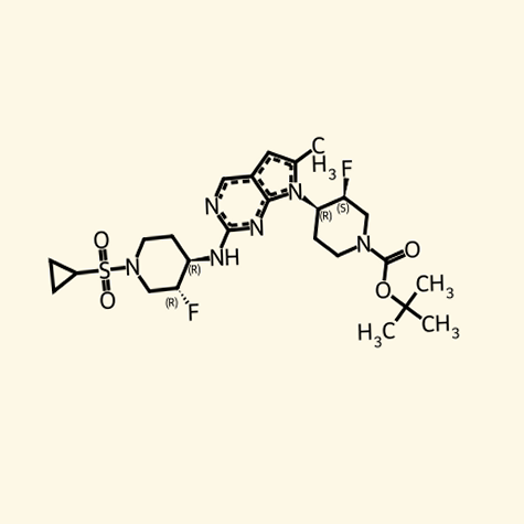 Cc1cc2cnc(N[C@@H]3CCN(S(=O)(=O)C4CC4)C[C@H]3F)nc2n1[C@@H]1CCN(C(=O)OC(C)(C)C)C[C@@H]1F